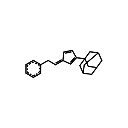 [C]1=C(C23CC4CC(CC(C4)C2)C3)C=CC1=CCc1ccccc1